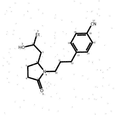 CCC(O)CC1CCC(=O)N1CCCc1ccc(C#N)cc1